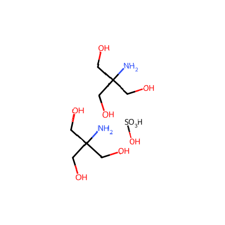 NC(CO)(CO)CO.NC(CO)(CO)CO.O=S(=O)(O)O